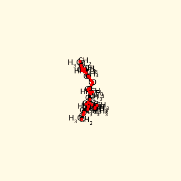 C=C(C)C(=O)OCCOC(=O)NCC1(C)CC(NC(=O)OCC(CC)(COCCC[Si](C)(O[Si](C)(C)C)O[Si](C)(C)C)COC(=O)NCC2(C)CC(NC(=O)OCCCCC(=O)OCCCCOC(=O)NCC3(C)CC(NC(=O)OCCOC(=O)C(=C)C)CC(C)(C)C3)CC(C)(C)C2)CC(C)(C)C1